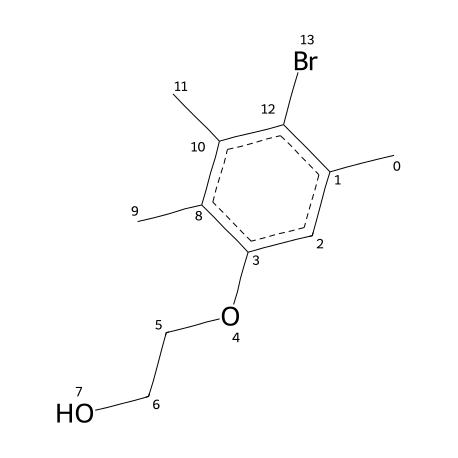 Cc1cc(OCCO)c(C)c(C)c1Br